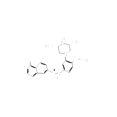 COc1ccc(NS(=O)(=O)c2ccc3c(Cl)cccc3c2)cc1N1C[C@@H](C)N[C@@H](C)C1